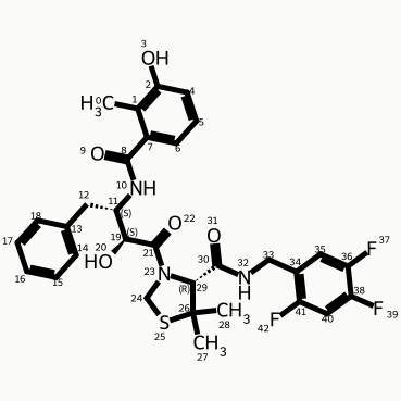 Cc1c(O)cccc1C(=O)N[C@@H](Cc1ccccc1)[C@H](O)C(=O)N1CSC(C)(C)[C@H]1C(=O)NCc1cc(F)c(F)cc1F